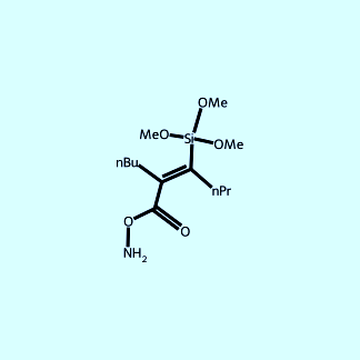 CCCCC(C(=O)ON)=C(CCC)[Si](OC)(OC)OC